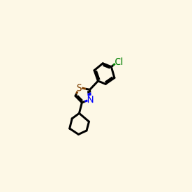 Clc1ccc(-c2nc(C3CCCCC3)cs2)cc1